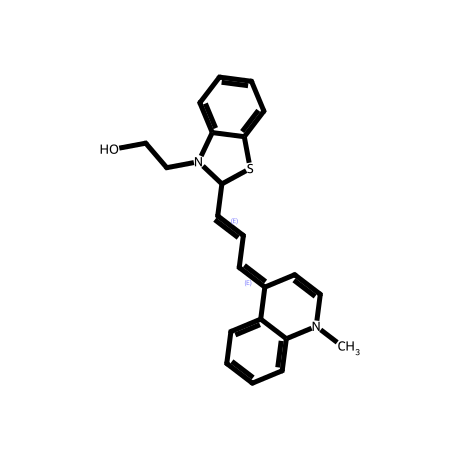 CN1C=C/C(=C\C=C\C2Sc3ccccc3N2CCO)c2ccccc21